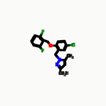 Cc1cc(C(=O)O)nn1Cc1cc(Cl)ccc1OCc1c(F)cccc1F